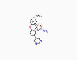 CO[C@H]1CCC2Oc3ccc(-c4cncnc4)cc3C3(COC(N)=N3)[C@H]2C1